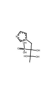 CC(O)(O)C(O)(Cn1ccnc1)P(=O)(O)O